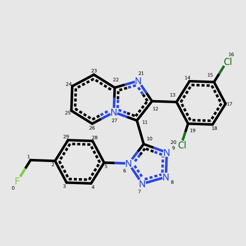 FCc1ccc(-n2nnnc2-c2c(-c3cc(Cl)ccc3Cl)nc3ccccn23)cc1